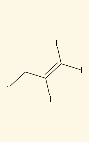 [CH2]CC(I)=C(I)I